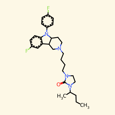 CCCC(C)N1CCN(CCCCN2CCC3C(C2)c2cc(F)ccc2N3c2ccc(F)cc2)C1=O